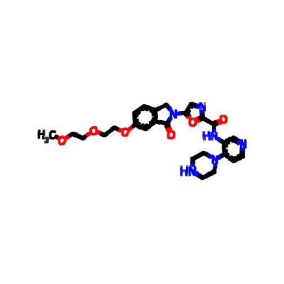 COCCOCCOc1ccc2c(c1)C(=O)N(c1cnc(C(=O)Nc3cnccc3N3CCNCC3)o1)C2